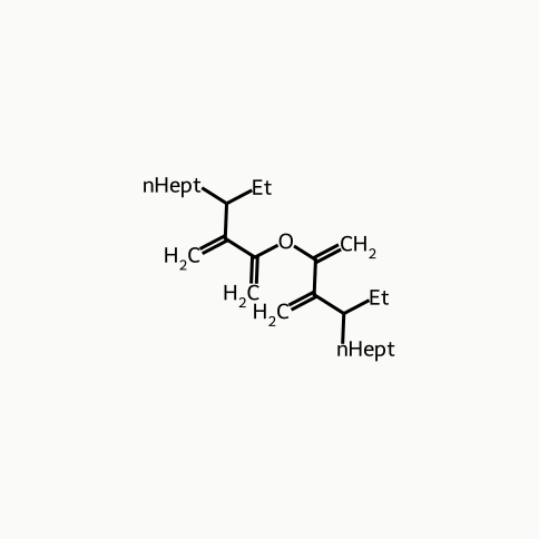 C=C(OC(=C)C(=C)C(CC)CCCCCCC)C(=C)C(CC)CCCCCCC